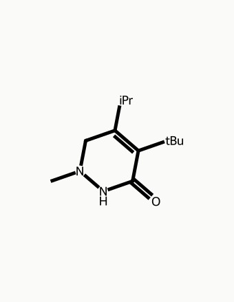 CC(C)C1=C(C(C)(C)C)C(=O)NN(C)C1